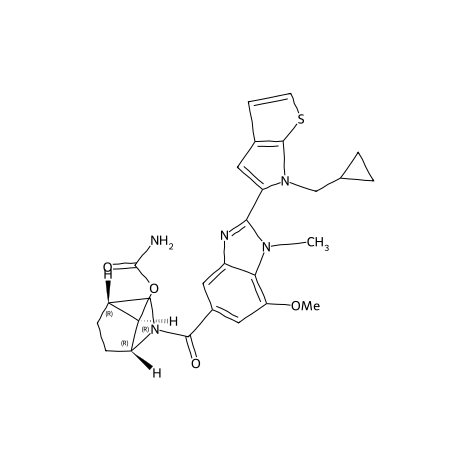 COc1cc(C(=O)N2C[C@H]3CC[C@@H]2[C@@H]3OC(N)=O)cc2nc(-c3cc4ccsc4n3CC3CC3)n(C)c12